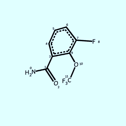 NC(=O)c1cccc(F)c1OC(F)(F)F